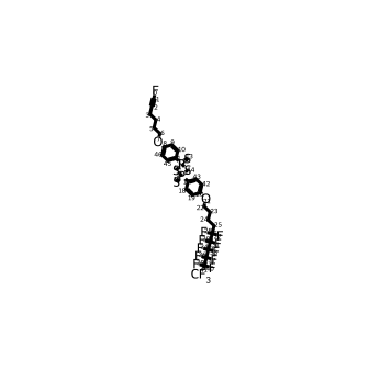 FC#CCCCCOc1ccc(P2(=S)SP(=S)(c3ccc(OCCCCC(F)(F)C(F)(F)C(F)(F)C(F)(F)C(F)(F)C(F)(F)F)cc3)S2)cc1